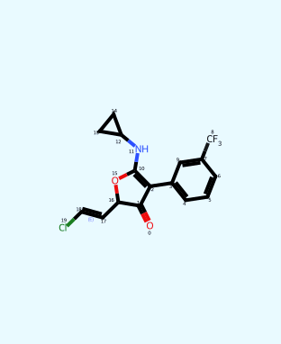 O=C1C(c2cccc(C(F)(F)F)c2)=C(NC2CC2)OC1/C=C/Cl